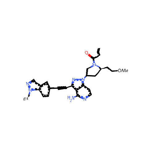 C=CC(=O)N1CC(n2nc(C#Cc3ccc4c(cnn4CC)c3)c3c(N)nccc32)C[C@@H]1CCOC